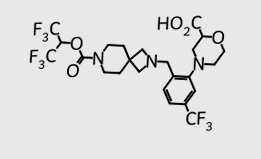 O=C(O)C1CN(c2cc(C(F)(F)F)ccc2CN2CC3(CCN(C(=O)OC(C(F)(F)F)C(F)(F)F)CC3)C2)CCO1